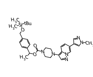 CC(OC(=O)N1CCN(c2cnn3cc(-c4cnn(C)c4)ccc23)CC1)c1ccc(CO[Si](C)(C)C(C)(C)C)cc1